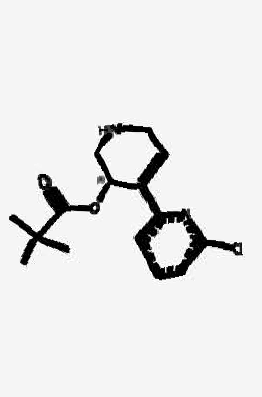 CC(C)(C)C(=O)O[C@H]1CNCC=C1c1cccc(Cl)n1